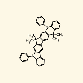 CC1(C)c2cc3c(cc2-c2cc4c5ccccc5n(-c5ccccc5)c4cc21)C(C)(C)c1ccccc1N3c1ccccc1